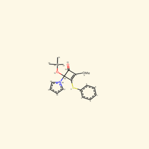 COC1=C(Sc2ccccc2)C(O[Si](C)(C)C)(n2cccc2)C1=O